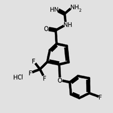 Cl.N=C(N)NC(=O)c1ccc(Oc2ccc(F)cc2)c(C(F)(F)F)c1